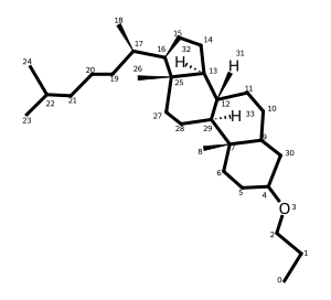 CCCOC1CC[C@@]2(C)C(CC[C@H]3[C@@H]4CC[C@H]([C@H](C)CCCC(C)C)[C@@]4(C)CC[C@@H]32)C1